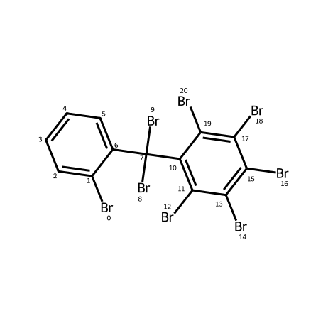 Brc1ccccc1C(Br)(Br)c1c(Br)c(Br)c(Br)c(Br)c1Br